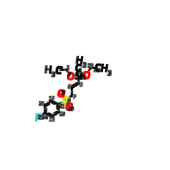 CCO[Si](C)(/C=C/CS(=O)(=O)c1ccc(F)cc1)OCC